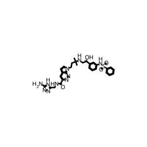 CC(C)(CCn1ccc2cc(C(=O)NCc3nnc(N)[nH]3)nnc21)NC[C@H](O)c1cccc(NS(=O)(=O)c2ccccc2)c1